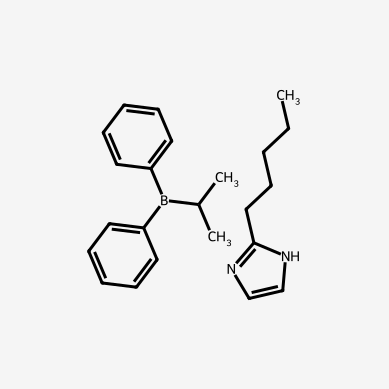 CC(C)B(c1ccccc1)c1ccccc1.CCCCCc1ncc[nH]1